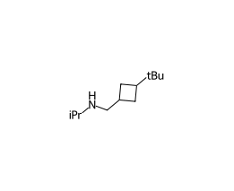 CC(C)NCC1CC(C(C)(C)C)C1